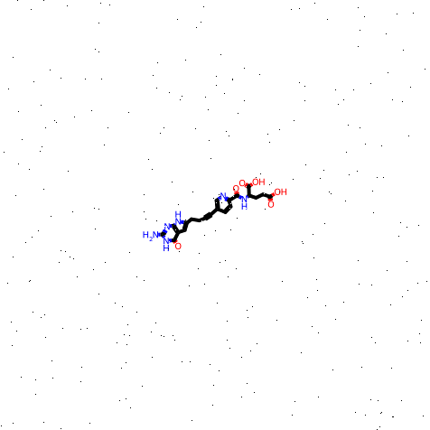 Nc1nc2[nH]c(CCC#Cc3ccc(C(=O)NC(CCC(=O)O)C(=O)O)nc3)cc2c(=O)[nH]1